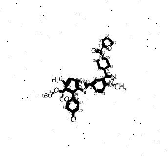 CCOC(=O)[C@@H](OC(C)(C)C)c1c(C)cc2nc(-c3ccc4c(c3)c(C3CCN(C(=O)[C@H]5CCCO5)CC3)nn4C)sc2c1-c1ccc(Cl)cc1